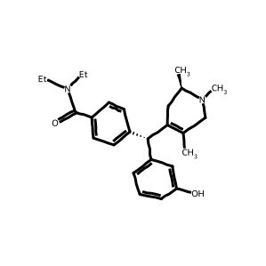 CCN(CC)C(=O)c1ccc([C@H](C2=C(C)CN(C)[C@H](C)C2)c2cccc(O)c2)cc1